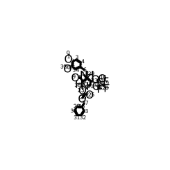 COc1ccc(CN2C(=O)[C@@H]3[C@H]2[C@H](OS(=O)(=O)C(F)(F)F)CN3OC(=O)OCc2ccccc2)cc1OC